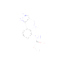 CN1Cc2cnn(C)c2-c2cccc(NC(=O)OC(C)(C)C)c21